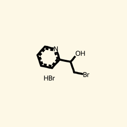 Br.OC(CBr)c1ccccn1